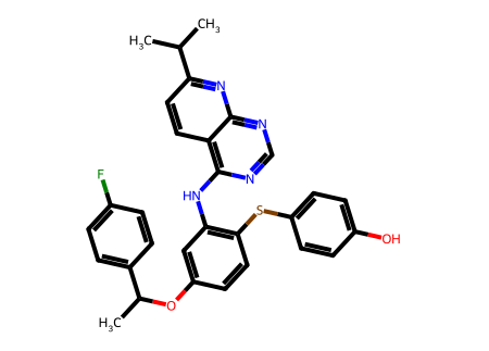 CC(C)c1ccc2c(Nc3cc(OC(C)c4ccc(F)cc4)ccc3Sc3ccc(O)cc3)ncnc2n1